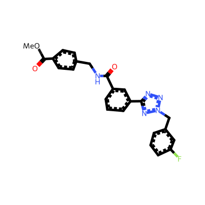 COC(=O)c1ccc(CNC(=O)c2cccc(-c3nnn(Cc4cccc(F)c4)n3)c2)cc1